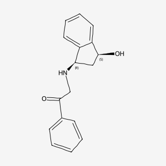 O=C(CN[C@@H]1C[C@H](O)c2ccccc21)c1ccccc1